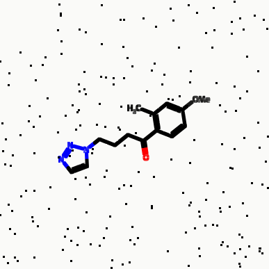 COc1ccc(C(=O)CCCn2ccnn2)c(C)c1